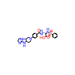 O=C(NC[C@H](NS(=O)(=O)c1ccccc1)C(=O)O)c1ccc(N2CCC(NC3=NCCN3)CC2)cc1